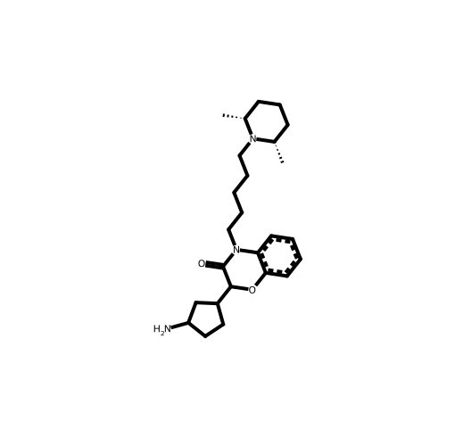 C[C@@H]1CCC[C@H](C)N1CCCCCN1C(=O)C(C2CCC(N)C2)Oc2ccccc21